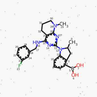 CC1Cc2c(B(O)O)cccc2N1c1nc(NCc2cccc(F)c2)c2c(n1)N(C)CCC2